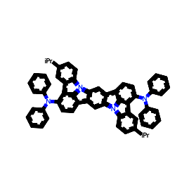 CC(C)c1ccc2c(c1)c1c(N(c3ccccc3)c3ccccc3)ccc3c4cc5c(cc4n2c31)c1ccc(N(c2ccccc2)c2ccccc2)c2c3cc(C(C)C)ccc3n5c12